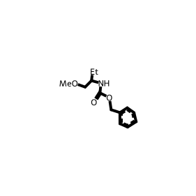 CCC(COC)NC(=O)OCc1ccccc1